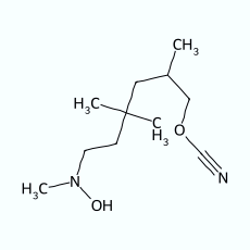 CC(COC#N)CC(C)(C)CCN(C)O